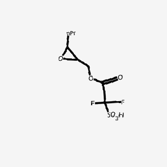 CCCC1OC1COC(=O)C(F)(F)S(=O)(=O)O